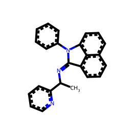 CC(N=C1c2cccc3cccc(c23)N1c1ccccc1)c1ccccn1